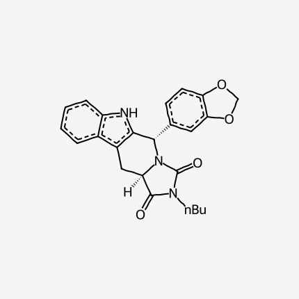 CCCCN1C(=O)[C@H]2Cc3c([nH]c4ccccc34)[C@H](c3ccc4c(c3)OCO4)N2C1=O